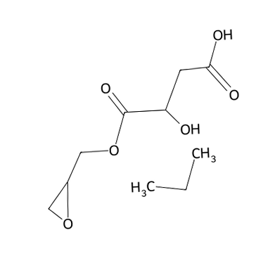 CCC.O=C(O)CC(O)C(=O)OCC1CO1